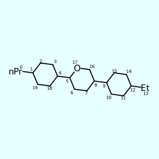 CCCC1CCC(C2CCC(C3CCC(CC)CC3)CO2)CC1